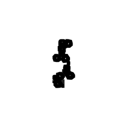 c1ccc2c(c1)oc1ccc(-n3c4ccccc4c4cc(Cc5ccc6c(c5)c5ccccc5n6-c5ccc6sc7cccnc7c6c5)ccc43)cc12